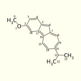 COc1ccc2cc3ccc(C(C)C)ccc-3c2c1